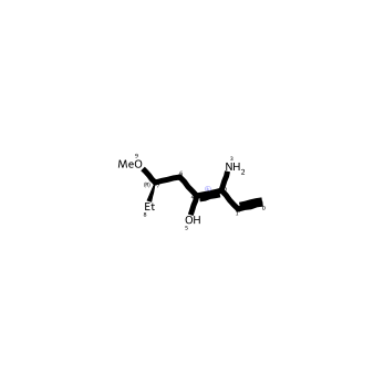 C=C/C(N)=C(\O)C[C@@H](CC)OC